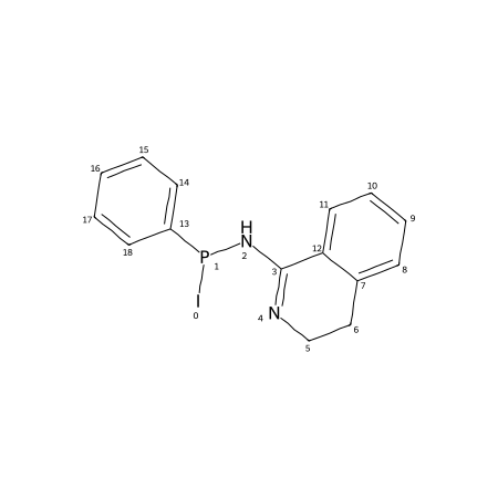 IP(NC1=NCCc2ccccc21)c1ccccc1